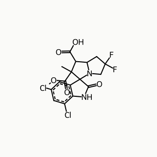 COC(=O)C1(C)C(C(=O)O)C2CC(F)(F)CN2C12C(=O)Nc1c(Cl)cc(Cl)cc12